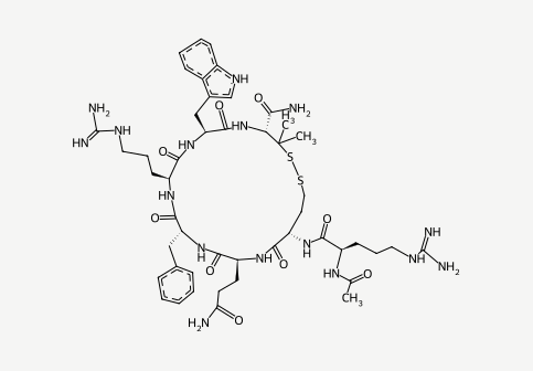 CC(=O)N[C@H](CCCNC(=N)N)C(=O)N[C@H]1CCSSC(C)(C)[C@@H](C(N)=O)NC(=O)[C@H](Cc2c[nH]c3ccccc23)NC(=O)[C@H](CCCNC(=N)N)NC(=O)[C@@H](Cc2ccccc2)NC(=O)[C@H](CCC(N)=O)NC1=O